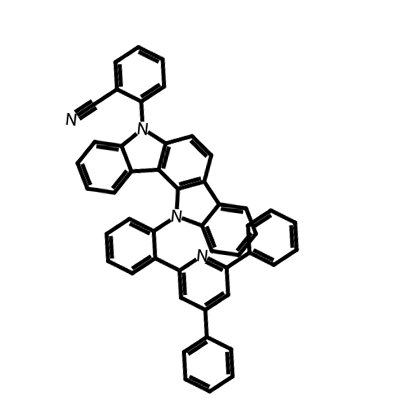 N#Cc1ccccc1-n1c2ccccc2c2c1ccc1c3ccccc3n(-c3ccccc3-c3cc(-c4ccccc4)cc(-c4ccccc4)n3)c12